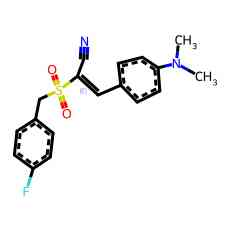 CN(C)c1ccc(/C=C(\C#N)S(=O)(=O)Cc2ccc(F)cc2)cc1